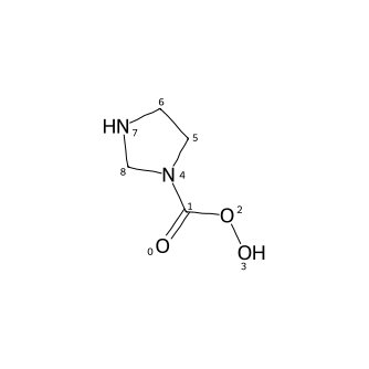 O=C(OO)N1CCNC1